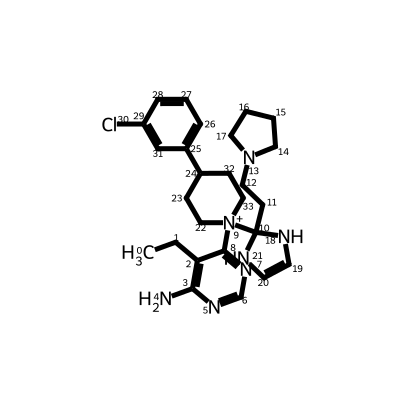 CCc1c(N)ncnc1[N+]1(C2(CCN3CCCC3)NC=CN2)CCC(c2cccc(Cl)c2)CC1